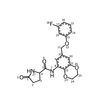 O=C1CCC(C(=O)Nc2cc(COc3cccc(F)c3)cc3c2OCCO3)N1